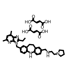 CCc1nc2c(C)cc(C)nc2n1Cc1ccc2c(c1)CCc1cc(CNCCN3CCCC3)ccc1N2.O=C(O)C=CC(=O)O.O=C(O)C=CC(=O)O